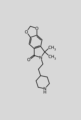 CC1(C)c2cc3c(cc2C(=O)N1CCC1CCNCC1)OCO3